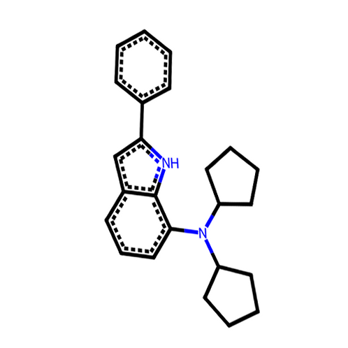 c1ccc(-c2cc3cccc(N(C4CCCC4)C4CCCC4)c3[nH]2)cc1